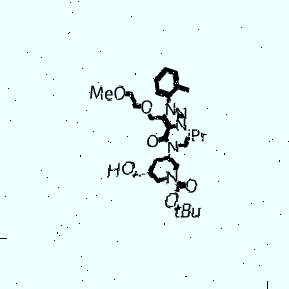 COCCOCc1c(C(=O)N(CC(C)C)[C@H]2C[C@@H](CO)CN(C(=O)OC(C)(C)C)C2)nnn1-c1ccccc1C